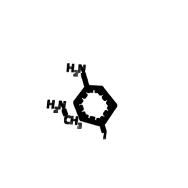 CN.Nc1ccc(I)cc1